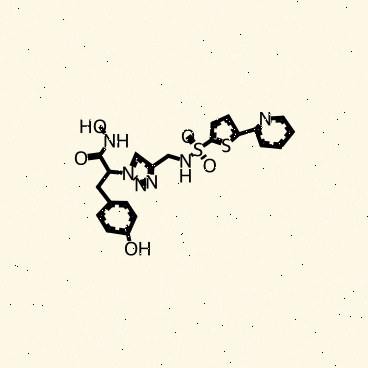 O=C(NO)C(Cc1ccc(O)cc1)n1cc(CNS(=O)(=O)c2ccc(-c3ccccn3)s2)nn1